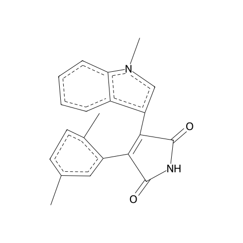 Cc1ccc(C)c(C2=C(c3cn(C)c4ccccc34)C(=O)NC2=O)c1